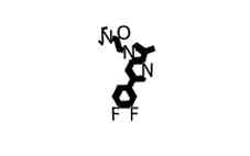 Cc1cn(CC(=O)N(C)C)c2cc(-c3ccc(F)c(F)c3)cnc12